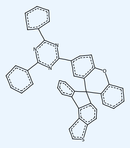 c1ccc(-c2nc(-c3ccccc3)nc(-c3ccc4c(c3)C3(c5ccccc5O4)c4ccccc4-c4c3ccc3sccc43)n2)cc1